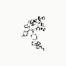 CC(=O)OCC(=C(C(=O)N(C)CC(C)(C)SN=O)c1ccc(F)cc1)c1ccc(S(C)(=O)=O)cc1